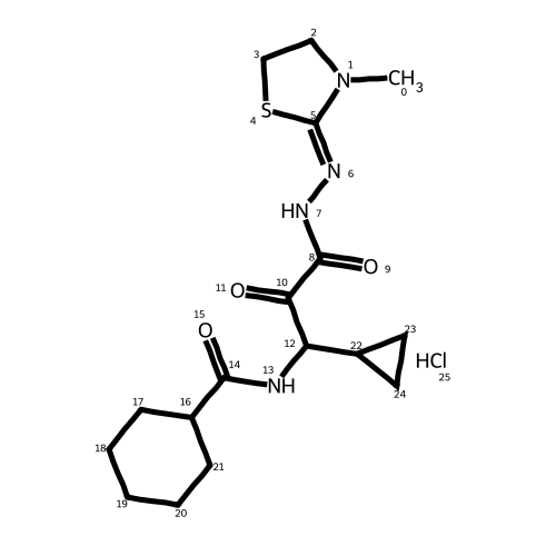 CN1CCSC1=NNC(=O)C(=O)C(NC(=O)C1CCCCC1)C1CC1.Cl